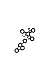 c1ccc2c(c1)-c1cccc3c(-c4ccc(-n5c6ccccc6c6c7c8ccccc8sc7c7c8ccccc8oc7c65)cc4)ccc-2c13